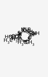 CC(Cc1cccc([C@@]2(C)CCCC(C)(C)CSCCc3c(c(F)cc4[nH]ccc34)Sc3ccnc(c3)-c3nc2cs3)c1)C(=O)O